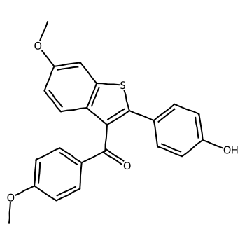 COc1ccc(C(=O)c2c(-c3ccc(O)cc3)sc3cc(OC)ccc23)cc1